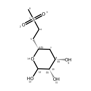 CS(=O)(=O)CC[C@@H]1C[C@H](O)[C@H](O)C(O)O1